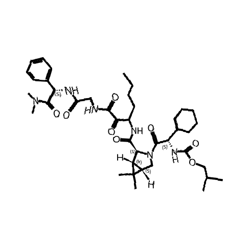 CCCCC(NC(=O)[C@@H]1[C@@H]2[C@H](CN1C(=O)[C@@H](NC(=O)OCC(C)C)C1CCCCC1)C2(C)C)C(=O)C(=O)NCC(=O)N[C@H](C(=O)N(C)C)c1ccccc1